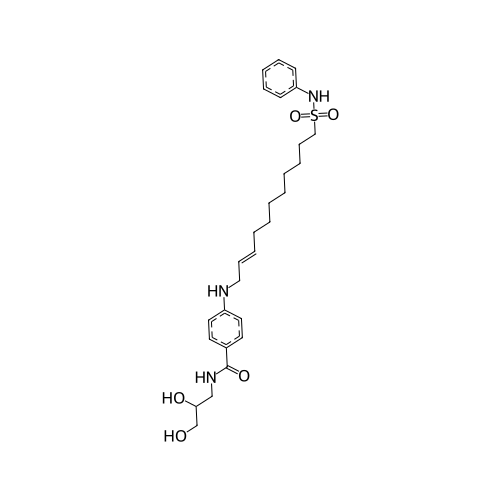 O=C(NCC(O)CO)c1ccc(NCC=CCCCCCCCCS(=O)(=O)Nc2ccccc2)cc1